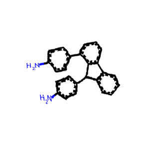 Nc1ccc(-c2cccc3c2C(c2ccc(N)cc2)c2ccccc2-3)cc1